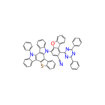 N#Cc1cc(-n2c3ccccc3c3c4c(c5ccccc5n4-c4ccccc4)c4sc5ccccc5c4c32)c2oc3ccccc3c2c1-c1nc(-c2ccccc2)nc(-c2ccccc2)n1